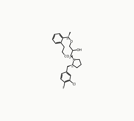 C[C@@H](OCC(O)CN1CCC[C@H]1Cc1ccc(F)c(Cl)c1)c1ccccc1CCC(=O)O